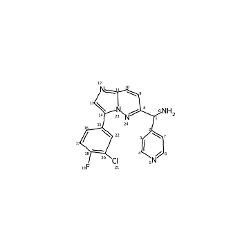 NC(c1ccncc1)c1ccc2ncc(-c3ccc(F)c(Cl)c3)n2n1